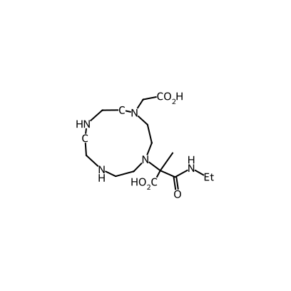 CCNC(=O)C(C)(C(=O)O)N1CCNCCNCCN(CC(=O)O)CC1